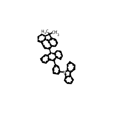 CC1(C)c2cccc3cc(-c4c5ccccc5c(-c5cccc(-n6c7ccccc7c7ccccc76)c5)c5ccccc45)c4cccc1c4c23